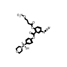 [N-]=[N+]=Nc1ccc(OC(=O)CCCO[N+](=O)[O-])c(C(=O)Oc2ccc(P(=S)(S)N3CCOCC3)cc2)c1